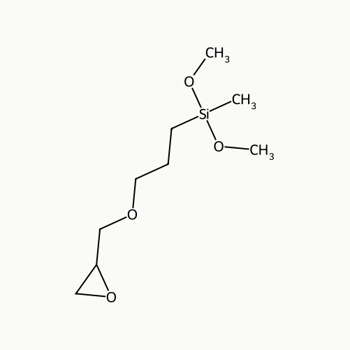 CO[Si](C)(CCCOCC1CO1)OC